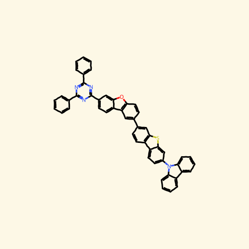 c1ccc(-c2nc(-c3ccccc3)nc(-c3ccc4c(c3)oc3ccc(-c5ccc6c(c5)sc5cc(-n7c8ccccc8c8ccccc87)ccc56)cc34)n2)cc1